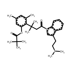 Cc1cc(C)c(C(C)(C)CC(=O)n2cc(CCN(C)C)c3ccccc32)c(OC(=O)C(C)(C)C)c1